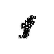 CNc1nc2nc(-c3ccc(C4(NC(=O)OC(C)(C)C)CCC4)cc3)c(-c3ccccc3)cn2n1